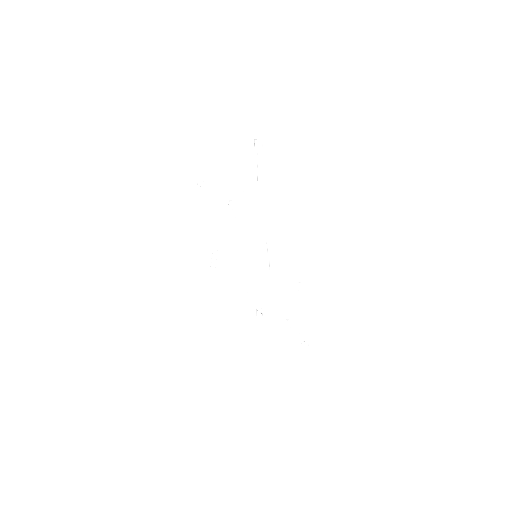 Cn1c(=O)sc2cc(C(=O)CBr)ccc21